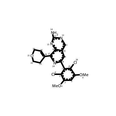 COc1cc(OC)c(Cl)c(-c2cc3cnc(N)nc3c(C3=CCOCC3)n2)c1Cl